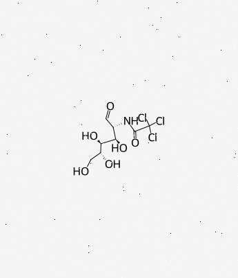 O=C[C@H](NC(=O)C(Cl)(Cl)Cl)[C@@H](O)[C@H](O)[C@H](O)CO